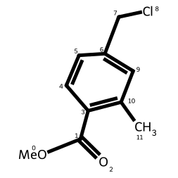 COC(=O)c1ccc(CCl)cc1C